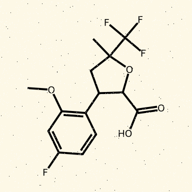 COc1cc(F)ccc1C1CC(C)(C(F)(F)F)OC1C(=O)O